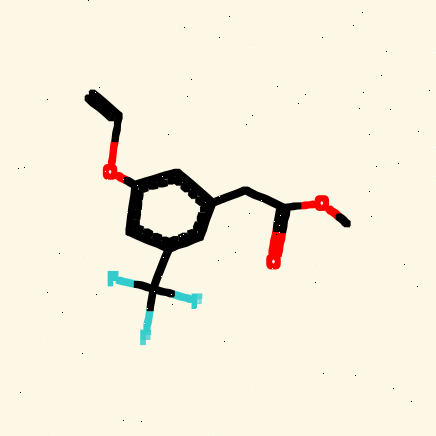 C=COc1cc(CC(=O)OC)cc(C(F)(F)F)c1